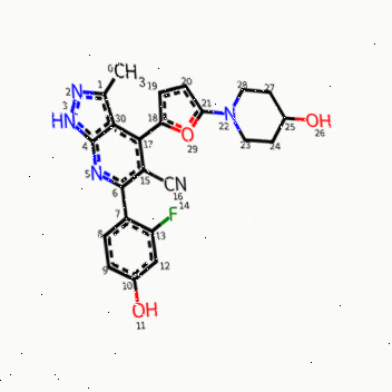 Cc1n[nH]c2nc(-c3ccc(O)cc3F)c(C#N)c(-c3ccc(N4CCC(O)CC4)o3)c12